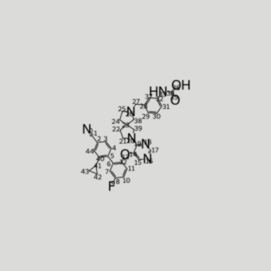 N#Cc1ccc(-c2cc(F)ccc2Oc2cncnc2N2CCC3(CCN(Cc4cccc(NC(=O)O)c4)C3)C2)c(C2CC2)c1